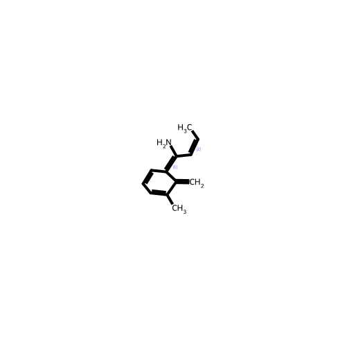 C=c1c(C)ccc/c1=C(N)/C=C\C